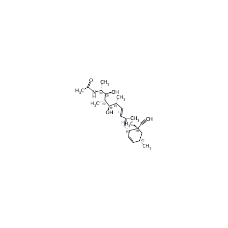 C#C[C@]1(C)C[C@H](C)C=C[C@@H]1/C=C(C)/C=C/[C@@H](C)[C@@H](O)[C@H](C)[C@H](O)[C@@H](C)NC(C)=O